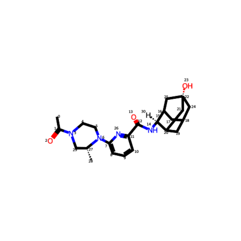 CC(=O)N1CCN(c2cccc(C(=O)N[C@H]3C4CC5CC3C[C@](O)(C5)C4)n2)[C@H](C)C1